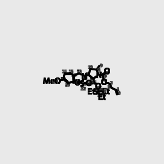 C=CCCOC(=O)N1[C@H](C)C[C@H](N(Cc2ccc(OC)cc2)S(C)(=O)=O)[C@@H]1CO[Si](CC)(CC)CC